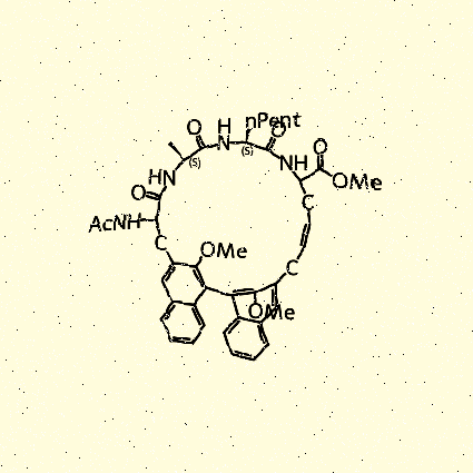 CCCCC[C@@H]1NC(=O)[C@H](C)NC(=O)C(NC(C)=O)Cc2cc3ccccc3c(c2OC)-c2c(OC)c(cc3ccccc23)CC=CCC(C(=O)OC)NC1=O